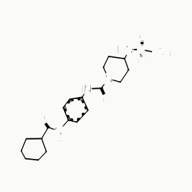 CC(C)(C)S(=O)(=O)NC1CCN(C(=O)Nc2ccc(NC(=O)C3CCCCC3)cc2)CC1